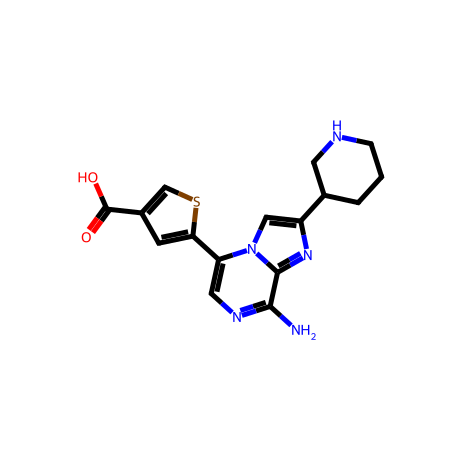 Nc1ncc(-c2cc(C(=O)O)cs2)n2cc(C3CCCNC3)nc12